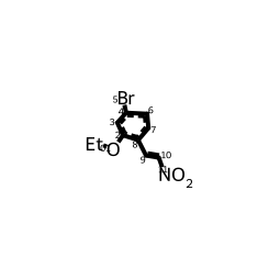 CCOc1cc(Br)ccc1C=C[N+](=O)[O-]